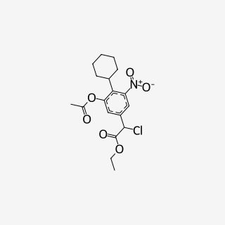 CCOC(=O)C(Cl)c1cc(OC(C)=O)c(C2CCCCC2)c([N+](=O)[O-])c1